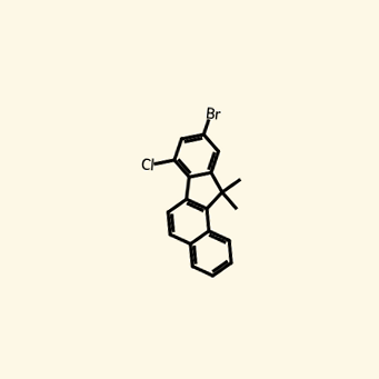 CC1(C)c2cc(Br)cc(Cl)c2-c2ccc3ccccc3c21